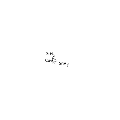 [Cu].[SeH2].[SnH2].[SrH2]